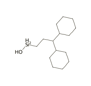 O[SiH2]CCC(C1CCCCC1)C1CCCCC1